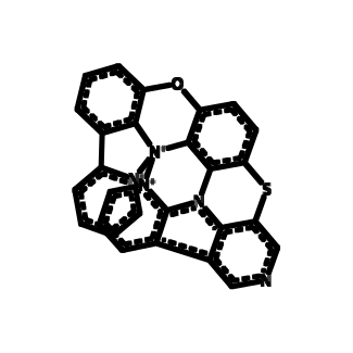 c1cc2c3c(c1)-c1cccc[n+]1[N+]31c3c(ccc4c3-n3c5c(cncc5c5ccc[n+]1c53)S4)O2